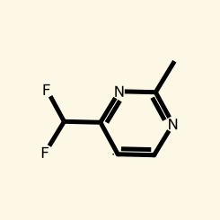 Cc1nc[c]c(C(F)F)n1